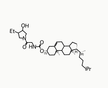 CCC1CN(C(=O)CNC(=O)O[C@H]2CC[C@@]3(C)C(=CCC4C3CC[C@@]3(C)C4CC[C@@H]3[C@H](C)CCCC(C)C)C2)CC1O